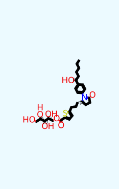 CCCCC[C@H](O)c1ccc(N2C(=O)CC[C@@H]2CCCc2ccc(C(=O)OC[C@H](O)[C@H](O)[C@@H](O)CO)s2)cc1